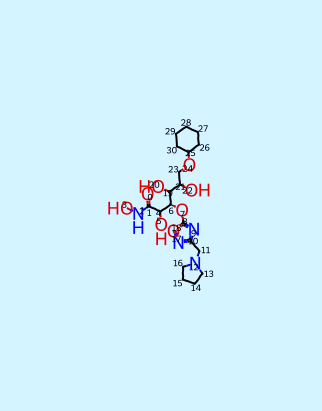 O=C(NO)C(O)[C@H](Oc1nc(CN2CCCC2)no1)C(O)C(O)COC1CCCCC1